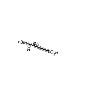 CCCCC=CCC(O)CCC(O)CCCCCCCCCCC(=O)O